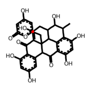 CC1c2c(O)cc(O)c3c2C2C(CC(O)=C4C(=O)c5c(O)cc(O)cc5C(C3=O)C42Cc2cc(O)cc(=O)o2)C1O